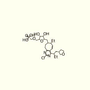 CCC(C[C@H]1CCOC1)c1nc(Cl)nc2c1/C=C\C(CC)C(CC1OC(COCP(=O)(O)O)[C@@H](O)[C@H]1O)CC2